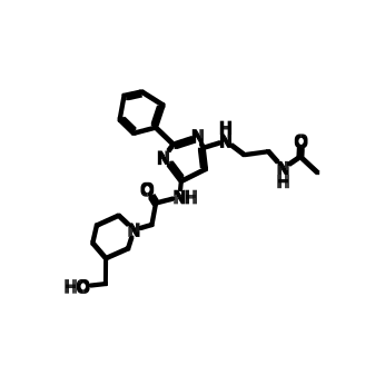 CC(=O)NCCNc1cc(NC(=O)CN2CCCC(CO)C2)nc(-c2ccccc2)n1